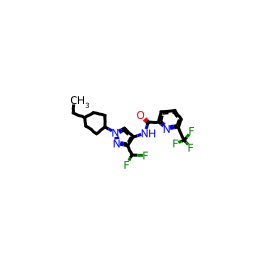 CCC1CCC(n2cc(NC(=O)c3cccc(C(F)(F)F)n3)c(C(F)F)n2)CC1